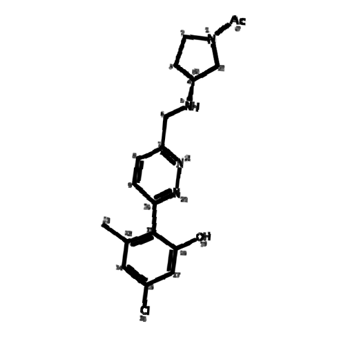 CC(=O)N1CC[C@H](NCc2ccc(-c3c(C)cc(Cl)cc3O)nn2)C1